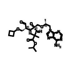 CC(C)OC(=O)C(C)(C)[AsH][P@](=O)(CO[C@H](C)Cn1cnc2c(N)ncnc21)N[C@@H](C=O)COC1CCC1